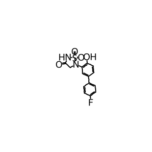 O=C1CN(c2cc(-c3ccc(F)cc3)ccc2O)S(=O)(=O)N1